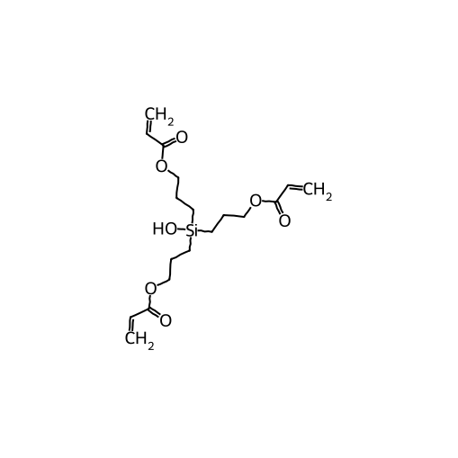 C=CC(=O)OCCC[Si](O)(CCCOC(=O)C=C)CCCOC(=O)C=C